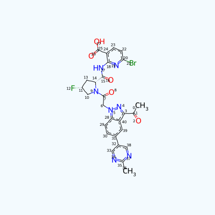 CC(=O)c1nn(CC(=O)N2C[C@H](F)C[C@@H]2C(=O)Nc2nc(Br)ccc2C(=O)O)c2ccc(-c3cnc(C)nc3)cc12